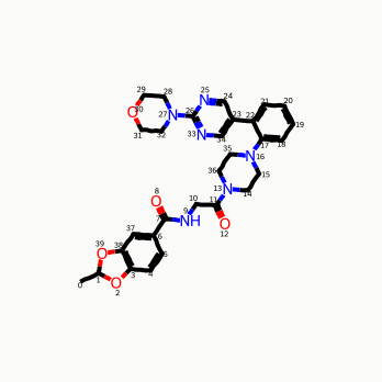 CC1Oc2ccc(C(=O)NCC(=O)N3CCN(c4ccccc4-c4cnc(N5CCOCC5)nc4)CC3)cc2O1